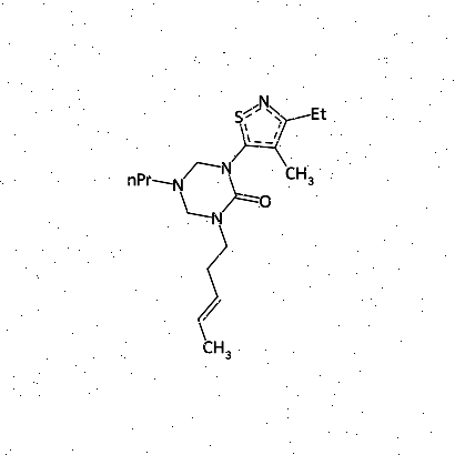 CC=CCCN1CN(CCC)CN(c2snc(CC)c2C)C1=O